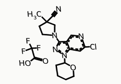 CC1(C#N)CCN(c2nn(C3CCCCO3)c3cc(Cl)ncc23)C1.O=C(O)C(F)(F)F